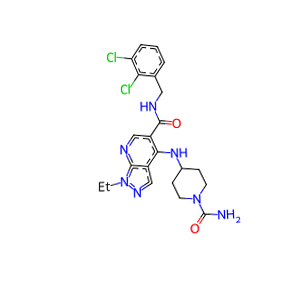 CCn1ncc2c(NC3CCN(C(N)=O)CC3)c(C(=O)NCc3cccc(Cl)c3Cl)cnc21